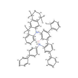 Cc1ccccc1-c1cc2c3c(c1)N1c4cc5c(cc4C(C)(C)c4cccc(c41)B3N(c1ccc(-c3ccccc3)cc1)c1cc(-c3ccccc3)ccc1-2)C(C)(C)CCC5(C)C